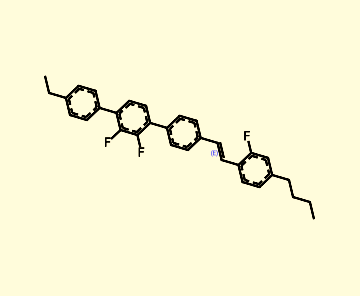 CCCCc1ccc(/C=C/c2ccc(-c3ccc(-c4ccc(CC)cc4)c(F)c3F)cc2)c(F)c1